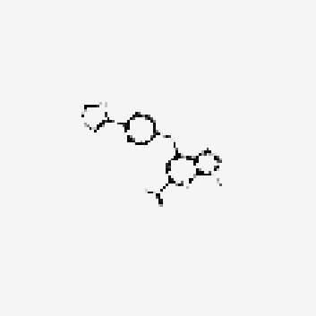 Cn1ccc2c(Cc3ccc(C4=CSCN4)cc3)cc(C(=O)O)nc21